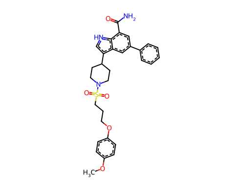 COc1ccc(OCCCS(=O)(=O)N2CCC(c3c[nH]c4c(C(N)=O)cc(-c5ccccc5)cc34)CC2)cc1